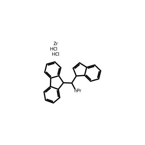 CCCC(C1C=Cc2ccccc21)C1c2ccccc2-c2ccccc21.Cl.Cl.[Zr]